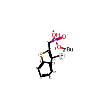 CCC(C)OP(=O)(O)Cc1sc2ccccc2c1C(C)C